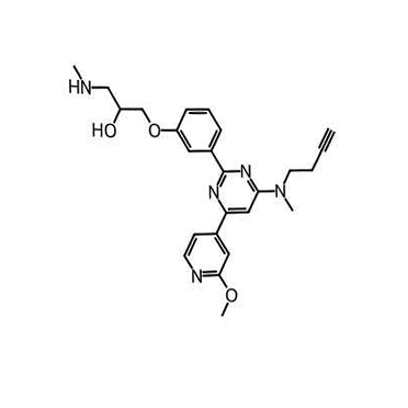 C#CCCN(C)c1cc(-c2ccnc(OC)c2)nc(-c2cccc(OCC(O)CNC)c2)n1